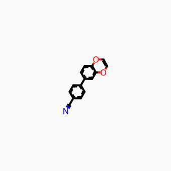 N#Cc1ccc(-c2ccc3c(c2)OC=CO3)cc1